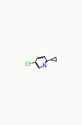 Clc1ccc(C2CC2)nc1